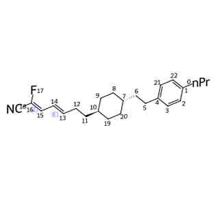 CCCc1ccc(CC[C@H]2CC[C@H](CC/C=C/C=C(\F)C#N)CC2)cc1